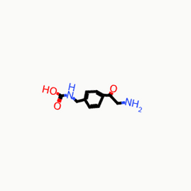 NCC(=O)c1ccc(CNC(=O)O)cc1